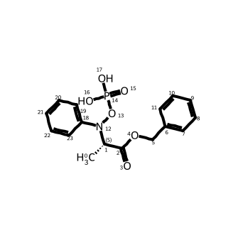 C[C@@H](C(=O)OCc1ccccc1)N(OP(=O)(O)O)c1ccccc1